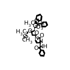 CSS[C@H](C)O[C@@H]1C[C@H](n2ccc(NC(=O)c3ccccc3)nc2=O)O[C@@H]1CO[Si](c1ccccc1)(c1ccccc1)C(C)(C)C